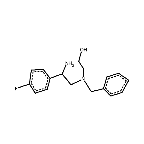 NC(CN(CCO)Cc1ccccc1)c1ccc(F)cc1